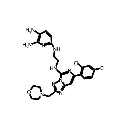 Nc1ccc(NCCNc2nc(-c3ccc(Cl)cc3Cl)cc3nc(CN4CCOCC4)nn23)nc1N